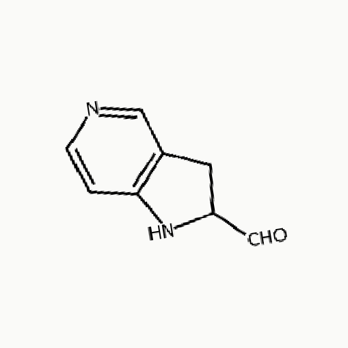 O=CC1Cc2cnccc2N1